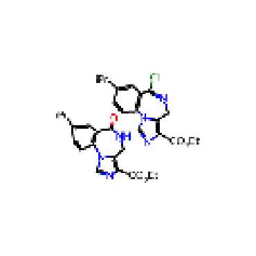 CCOC(=O)c1ncn2c1CN=C(Cl)c1cc(C(C)C)ccc1-2.CCOC(=O)c1ncn2c1CNC(=O)c1cc(C(C)C)ccc1-2